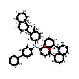 c1ccc(-c2ccc(N(c3ccc(-c4cccc5cccc(-c6ccccc6)c45)cc3)c3ccc4sc5c6ccccc6ccc5c4c3)cc2)cc1